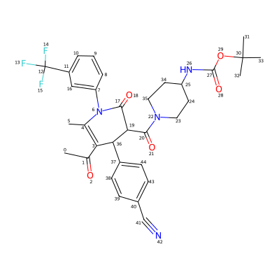 CC(=O)C1=C(C)N(c2cccc(C(F)(F)F)c2)C(=O)C(C(=O)N2CCC(NC(=O)OC(C)(C)C)CC2)C1c1ccc(C#N)cc1